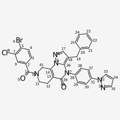 O=C(c1ccc(Br)c(Cl)c1)N1CCc2c(n3ncc(Cc4ccccc4)c3n(-c3ccc(-n4cccn4)cc3)c2=O)C1